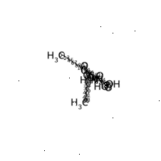 CCCCCCCCCCCC(=O)OC[C@@H](CSC[C@H](N)C(=O)NCCCP(=O)(O)O)OC(=O)CCCCCCCCCCC